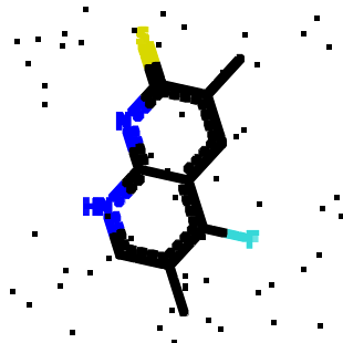 Cc1c[nH]c2nc(=S)c(C)cc-2c1F